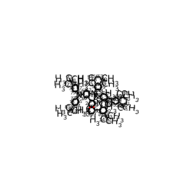 Cc1cc2c3c(c1)N(c1ccc(C(C)(C)C)cc1-c1ccccc1)c1c(ccc4c1oc1cc5c(cc14)C(C)(C)CCC5(C)C)B3N(c1ccc3c(c1)C(C)(C)CCC3(C)C)c1ccc(N(c3ccc(C(C)(C)C)cc3)c3ccc(C(C)(C)C)cc3)cc1-2